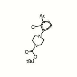 CC(=O)c1cccc(N2CCN(C(=O)OC(C)(C)C)CC2)c1Cl